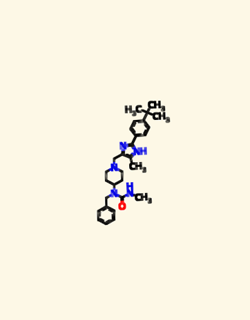 CNC(=O)N(Cc1ccccc1)C1CCN(Cc2nc(-c3ccc(C(C)(C)C)cc3)[nH]c2C)CC1